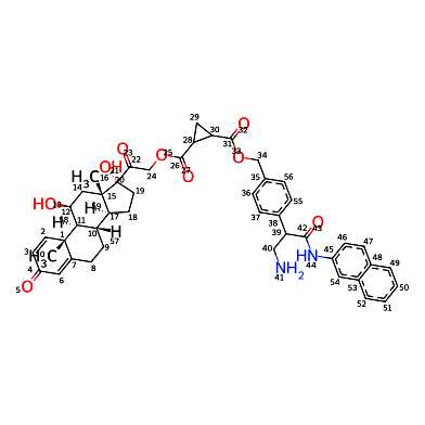 C[C@]12C=CC(=O)C=C1CC[C@@H]1[C@@H]2[C@@H](O)C[C@@]2(C)[C@H]1CC[C@]2(O)C(=O)COC(=O)C1CC1C(=O)OCc1ccc(C(CN)C(=O)Nc2ccc3ccccc3c2)cc1